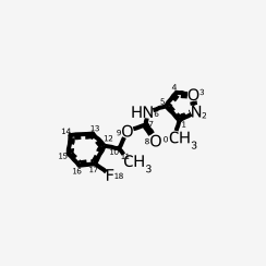 Cc1nocc1NC(=O)OC(C)c1ccccc1F